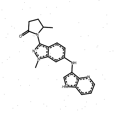 CC1CCC(=O)N1c1nn(C)c2cc(Nc3c[nH]c4cccnc34)ccc12